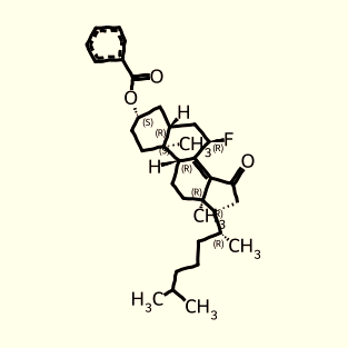 CC(C)CCC[C@@H](C)[C@H]1CC(=O)C2=C3[C@H](F)C[C@H]4C[C@@H](OC(=O)c5ccccc5)CC[C@]4(C)[C@H]3CC[C@@]21C